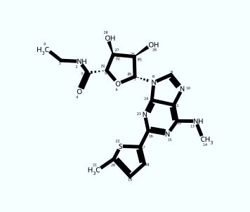 CCNC(=O)[C@H]1O[C@@H](n2cnc3c(NC)nc(-c4ccc(C)s4)nc32)[C@H](O)[C@@H]1O